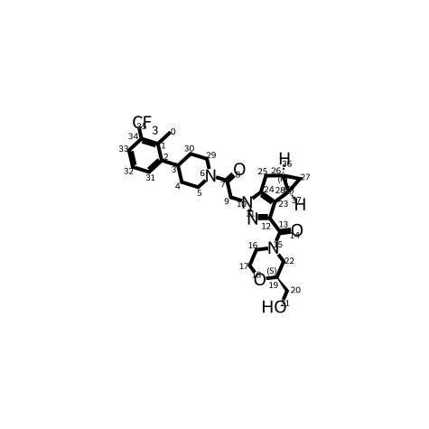 Cc1c(C2CCN(C(=O)Cn3nc(C(=O)N4CCO[C@H](CO)C4)c4c3C[C@H]3C[C@@H]43)CC2)cccc1C(F)(F)F